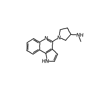 CNC1CCN(c2nc3ccccc3c3[nH]ccc23)C1